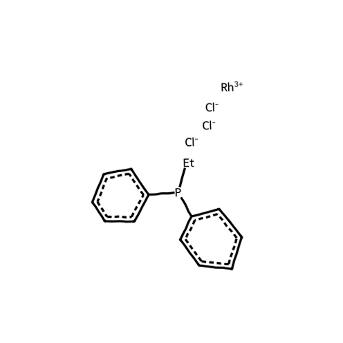 CCP(c1ccccc1)c1ccccc1.[Cl-].[Cl-].[Cl-].[Rh+3]